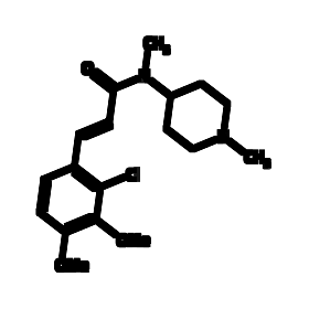 COc1ccc(C=CC(=O)N(C)C2CCN(C)CC2)c(Cl)c1OC